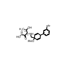 CCCc1cccc(C2C=CC(CN[C@H](C(=O)NO)[C@@H](C)O)(OC)C=C2)c1